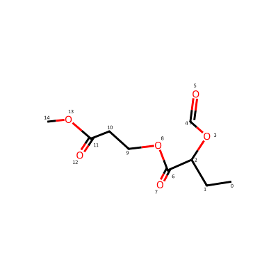 CCC(O[C]=O)C(=O)OCCC(=O)OC